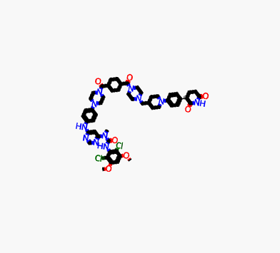 COc1cc(OC)c(Cl)c(NC(=O)N(C)c2cc(Nc3ccc(N4CCN(C(=O)C5CCC(C(=O)N6CCN(CC7CCN(c8ccc([C@@H]9CCC(=O)NC9=O)cc8)CC7)CC6)CC5)CC4)cc3)ncn2)c1Cl